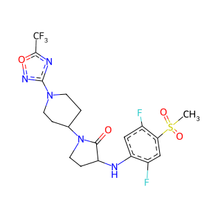 CS(=O)(=O)c1cc(F)c(NC2CCN(C3CCN(c4noc(C(F)(F)F)n4)CC3)C2=O)cc1F